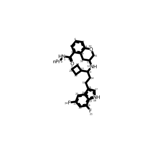 CCCNC(=O)c1cccc2c1CC(NC(CCc1c[nH]c3c(F)cc(F)cc13)C1CCC1)CO2